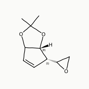 CC1(C)OC2C=C[C@@H](C3CO3)[C@H]2O1